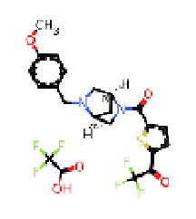 COc1ccc(CN2C[C@@H]3C[C@H]2CN3C(=O)c2ccc(C(=O)C(F)(F)F)s2)cc1.O=C(O)C(F)(F)F